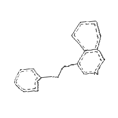 c1ccc(CCc2cncc3ccccc23)cc1